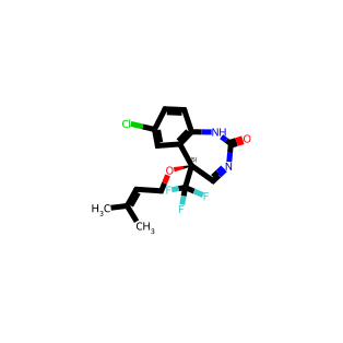 CC(C)=CCO[C@]1(C(F)(F)F)C=NC(=O)Nc2ccc(Cl)cc21